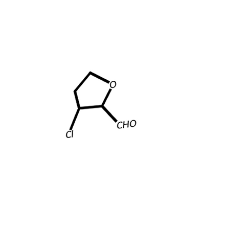 O=CC1OCCC1Cl